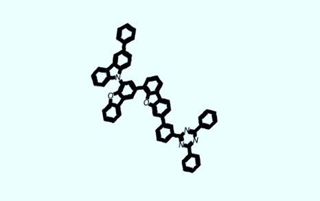 c1ccc(-c2ccc3c(c2)c2ccccc2n3-c2cc(-c3cccc4c3oc3cc(-c5cccc(-c6nc(-c7ccccc7)nc(-c7ccccc7)n6)c5)ccc34)cc3c2oc2ccccc23)cc1